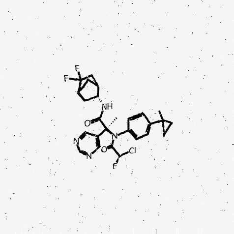 CC1(c2ccc(N(C(=O)[C@H](F)Cl)[C@](C)(C(=O)N[C@@H]3CC4CC3CC4(F)F)c3cncnc3)cc2)CC1